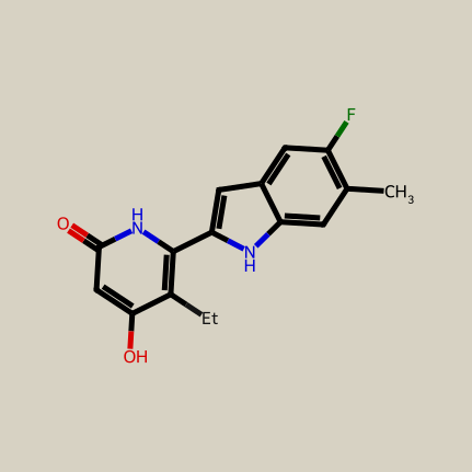 CCc1c(O)cc(=O)[nH]c1-c1cc2cc(F)c(C)cc2[nH]1